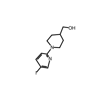 OCC1CCN(c2ccc(I)cn2)CC1